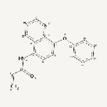 C=CC(=O)Nc1ccc(Oc2ccccc2)c2ncccc12